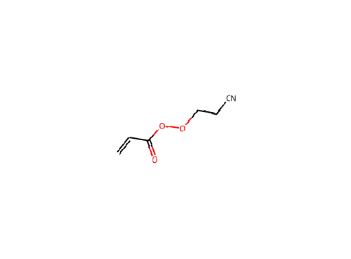 C=CC(=O)OOCCC#N